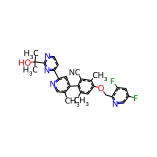 Cc1cnc(-c2ccnc(C(C)(C)O)n2)cc1-c1c(C)cc(OCc2ncc(F)cc2F)c(C)c1C#N